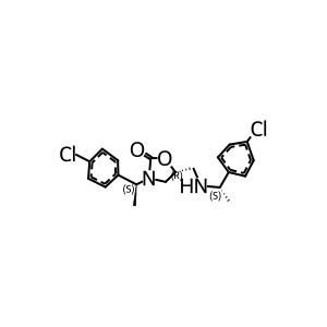 C[C@H](NC[C@@H]1CN([C@@H](C)c2ccc(Cl)cc2)C(=O)O1)c1ccc(Cl)cc1